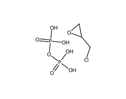 ClCC1CO1.O=P(O)(O)OP(=O)(O)O